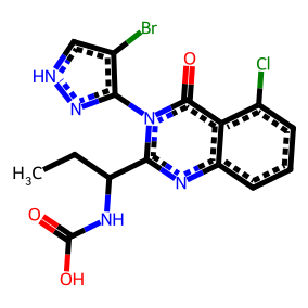 CCC(NC(=O)O)c1nc2cccc(Cl)c2c(=O)n1-c1n[nH]cc1Br